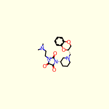 CN(C)CCN1C(=O)C(=O)N([C@H]2CCCN(C[C@H]3COc4ccccc4O3)C2)C1=O